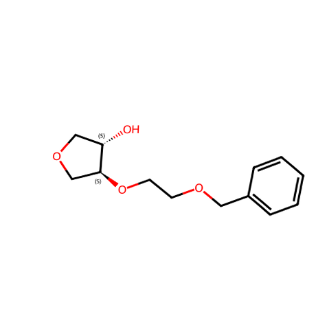 O[C@H]1COC[C@@H]1OCCOCc1ccccc1